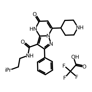 CC(C)CCNC(=O)c1c(-c2ccccc2)nn2c(C3CCNCC3)cc(=O)[nH]c12.O=C(O)C(F)(F)F